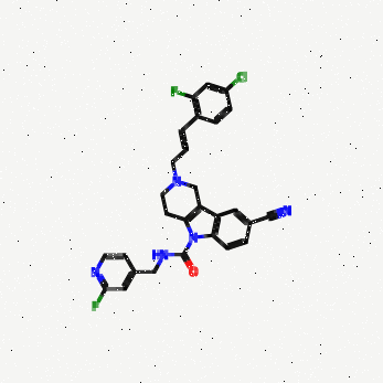 N#Cc1ccc2c(c1)c1c(n2C(=O)NCc2ccnc(F)c2)CCN(C/C=C/c2ccc(Cl)cc2F)C1